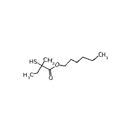 CCCCCCOC(=O)C(C)(S)CC